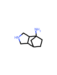 NC12CCC(C1)C1CNCC12